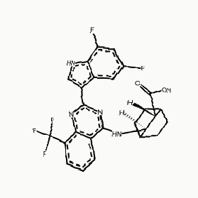 O=C(O)[C@@H]1C2CCC(CC2)[C@H]1Nc1nc(-c2c[nH]c3c(F)cc(F)cc23)nc2c(C(F)(F)F)cccc12